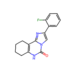 O=c1[nH]c2c(c3nc(-c4ccccc4F)cn13)CCCC2